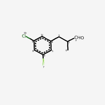 CC(C=O)Cc1cc(F)cc(Cl)c1